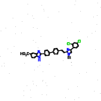 CCn1cc(-c2ccc(Cl)cc2Cl)nc1C=Cc1ccc(-c2ccc(-c3nc4cc(C(=O)O)ccc4[nH]3)cc2)cc1